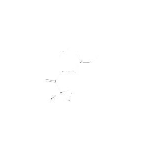 CC(C)C[C@H](NC(=O)OC(C)(C)C)C(=O)[C@@]1(C)CO1